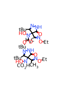 CCON=C(C)C1(N(O)C(=O)O)C(=O)NN=C1C(C)(C)C.CCON=C(C)C1(N(O)C(=O)OC(C)(C)C)C(=O)NN=C1C(C)(C)C